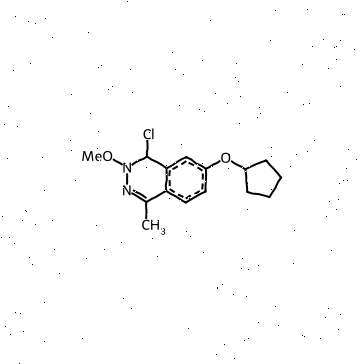 CON1N=C(C)c2ccc(OC3CCCC3)cc2C1Cl